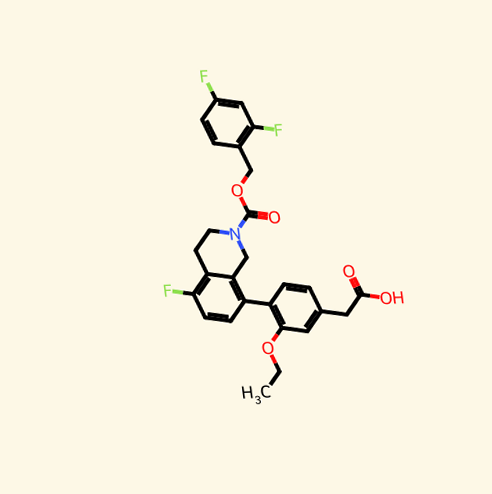 CCOc1cc(CC(=O)O)ccc1-c1ccc(F)c2c1CN(C(=O)OCc1ccc(F)cc1F)CC2